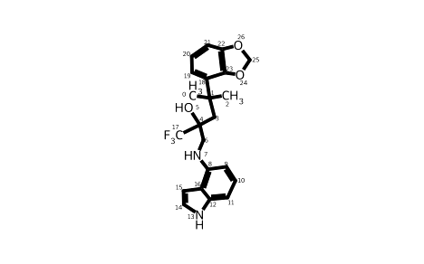 CC(C)(CC(O)(CNc1cccc2[nH]ccc12)C(F)(F)F)c1cccc2c1OCO2